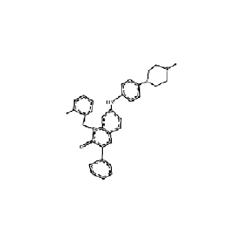 Cc1ccccc1Cn1c(=O)c(-c2ccccc2)cc2ccc(Nc3ccc(N4CCN(C)CC4)cc3)cc21